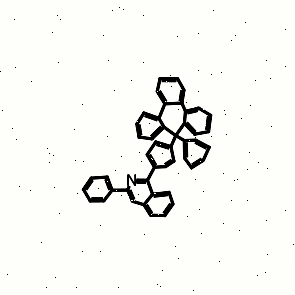 c1ccc(-c2cc3ccccc3c(-c3ccc(C4(c5ccccc5)c5ccccc5-c5ccccc5-c5ccccc54)cc3)n2)cc1